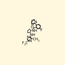 Cc1nc(C(F)(F)F)cnc1N[C@H]1CCC[C@@H]1NC(=O)c1cc(F)ccc1-c1ncccn1